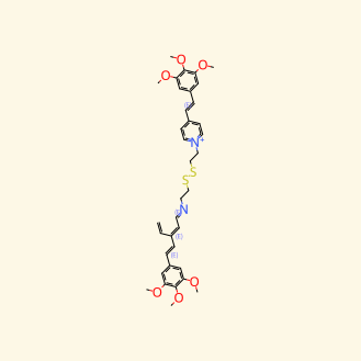 C=CC(/C=C/c1cc(OC)c(OC)c(OC)c1)=C\C=N\CCSSCC[n+]1ccc(/C=C/c2cc(OC)c(OC)c(OC)c2)cc1